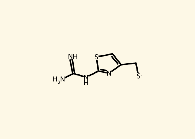 N=C(N)Nc1nc(C[S])cs1